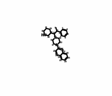 CC(c1ccccc1)C(C1CCCNC1)N1CCN(c2cnc3ccccc3n2)CC1